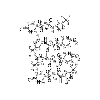 CC(C)(C)c1cc(NC(=O)C(C)(C)S(=O)(=O)c2ccc(Cl)nc2)no1.COc1ccc(S(=O)(=O)C(C)(C)C(=O)Nc2cc(C(C)(C)C)nn2C)cn1.COc1ccc(S(=O)(=O)C(C)(C)C(=O)Nc2cc(C(C)(C)C)on2)cn1.Cn1nc(C(C)(C)C)cc1NC(=O)C(C)(C)S(=O)(=O)c1ccc(Cl)nc1